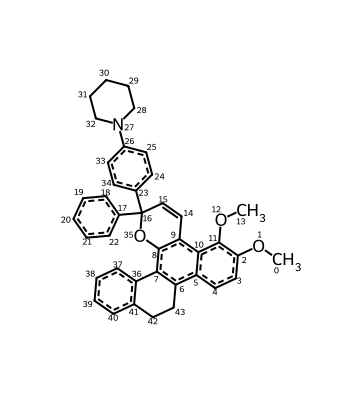 COc1ccc2c3c(c4c(c2c1OC)C=CC(c1ccccc1)(c1ccc(N2CCCCC2)cc1)O4)-c1ccccc1CC3